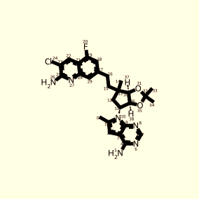 Cc1cc2c(N)ncnc2n1[C@@H]1CC(C)(CCc2cc(F)c3cc(Cl)c(N)nc3c2)[C@H]2OC(C)(C)O[C@@H]12